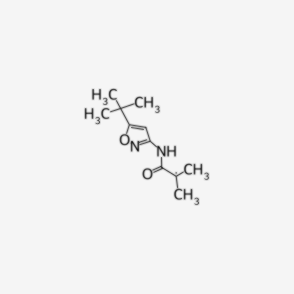 C[C](C)C(=O)Nc1cc(C(C)(C)C)on1